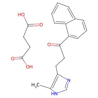 Cc1[nH]cnc1CCC(=O)c1cccc2ccccc12.O=C(O)CCC(=O)O